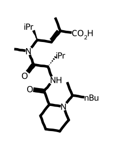 CCCCC(C)N1CCCCC1C(=O)N[C@H](C(=O)N(C)[C@H](/C=C(\C)C(=O)O)C(C)C)C(C)C